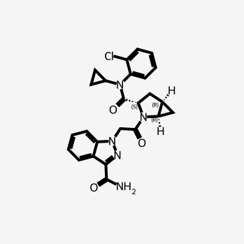 NC(=O)c1nn(CC(=O)N2[C@@H]3C[C@@H]3C[C@H]2C(=O)N(c2ccccc2Cl)C2CC2)c2ccccc12